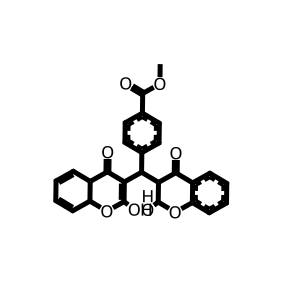 COC(=O)c1ccc(C(C2=C(O)OC3C=CC=CC3C2=O)C2C(=O)c3ccccc3OC2O)cc1